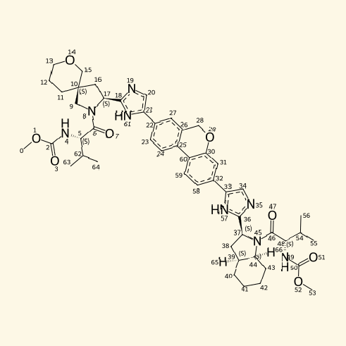 COC(=O)N[C@H](C(=O)N1C[C@]2(CCCOC2)C[C@H]1c1ncc(-c2ccc3c(c2)COc2cc(-c4cnc([C@@H]5C[C@@H]6CCCC[C@@H]6N5C(=O)[C@@H](NC(=O)OC)C(C)C)[nH]4)ccc2-3)[nH]1)C(C)C